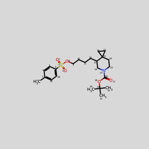 Cc1ccc(S(=O)(=O)OCCCCC2CN(C(=O)OC(C)(C)C)CCC23CC3)cc1